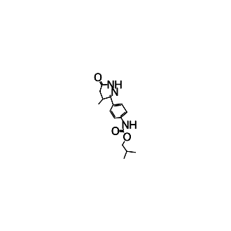 CC(C)COC(=O)Nc1ccc(C2=NNC(=O)CC2C)cc1